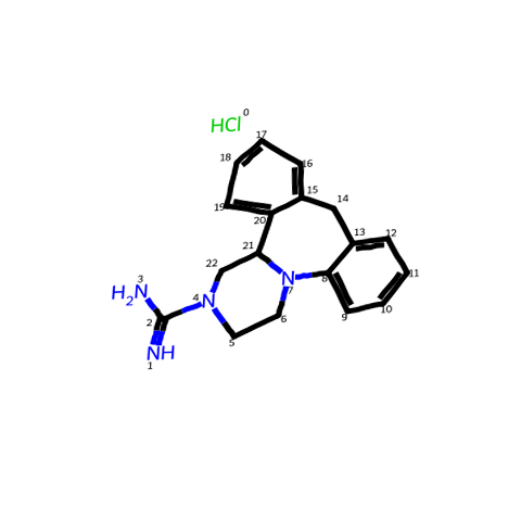 Cl.N=C(N)N1CCN2c3ccccc3Cc3ccccc3C2C1